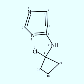 ClC1(Nc2ccncn2)CCC1